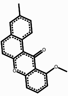 COc1cccc2oc3ccc4cc(C)ccc4c3c(=O)c12